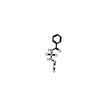 O=C=NNS(=O)(=O)NC(=O)c1ccccc1